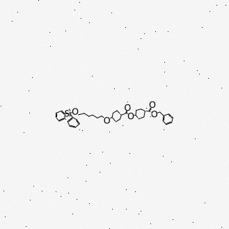 C[Si](OCCCCCCOC1CCC(C(=O)OC2CCC(C(=O)OCc3ccccc3)CC2)CC1)(c1ccccc1)c1ccccc1